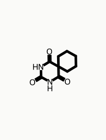 O=C1NC(=O)C2(CCCCC2)C(=O)N1